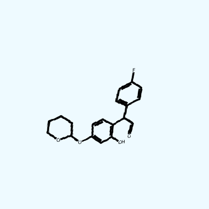 O=CC(c1ccc(F)cc1)c1ccc(OC2CCCCO2)cc1O